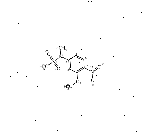 COc1cc(N(C)S(C)(=O)=O)ccc1[N+](=O)[O-]